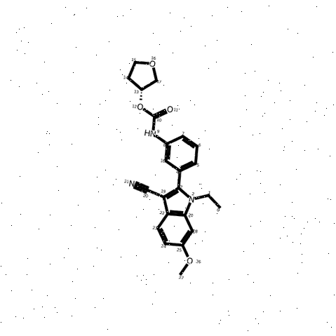 CCn1c(-c2cccc(NC(=O)O[C@@H]3CCOC3)c2)c(C#N)c2ccc(OC)cc21